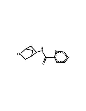 O=C(NC1CC2CC1CN2)c1ccccn1